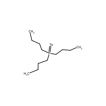 CCCCP(=[Te])(CCCC)CCCC